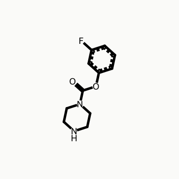 O=C(Oc1cccc(F)c1)N1CCNCC1